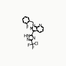 Fc1ccccc1Cn1nc(-c2nc(C(F)(F)Cl)n[nH]2)c2cccnc21